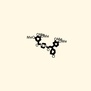 COc1ccc(C(=CC(=O)N2CCN(C(=O)c3cc(OC)c(OC)c(OC)c3)CC2)c2ccc(Cl)cc2)cc1OC